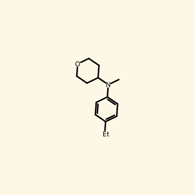 CCc1ccc(N(C)C2CCOCC2)cc1